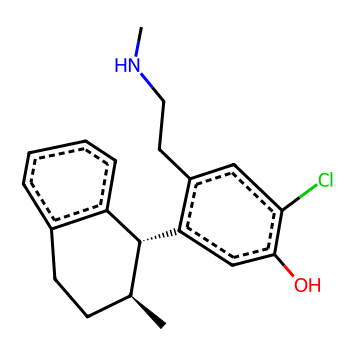 CNCCc1cc(Cl)c(O)cc1[C@H]1c2ccccc2CC[C@@H]1C